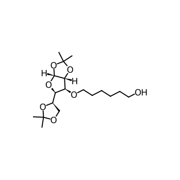 CC1(C)O[C@H]2O[C@H]([C@H]3COC(C)(C)O3)[C@H](OCCCCCCO)[C@H]2O1